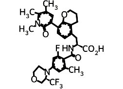 Cc1cc(N2CCOC[C@@H]2C(F)(F)F)cc(F)c1C(=O)N[C@@H](Cc1ccc(-c2cc(C)c(C)n(C)c2=O)c2c1CCCO2)C(=O)O